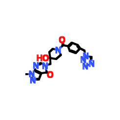 Cn1ncc2c(=O)n(CC3(O)CCN(C(=O)c4ccc(Cn5cnnn5)cc4)CC3)cnc21